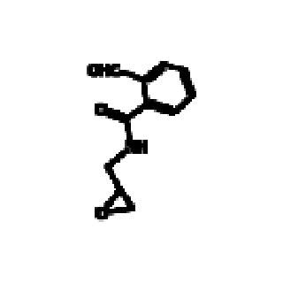 O=Cc1ccccc1C(=O)NCC1CO1